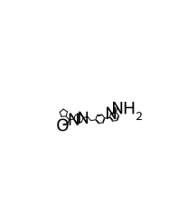 Nc1cccc(-c2ccc(CCN3CCN(C(C=O)C4CCCC4)CC3)cc2)n1